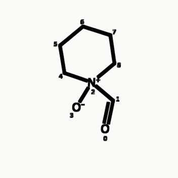 O=C[N+]1([O-])CCCCC1